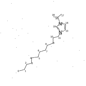 CCCCCCCCCCCC[n+]1ccn(C(C)C)c1